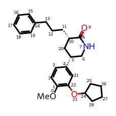 COc1ccc([C@H]2CNC(=O)[C@@H](CCCc3ccccc3)C2)cc1OC1CCCC1